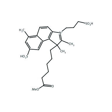 COC(=O)CCCCCC1(C)C(C)=[N+](CCCS(=O)(=O)O)c2ccc3c(C)cc(S(=O)(=O)O)cc3c21